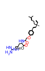 C=C[C@](C)(/C=C/c1ccc(OCC(=O)NC(CCCNC(=N)N)C(=O)OC)cc1)CCC=C(C)C